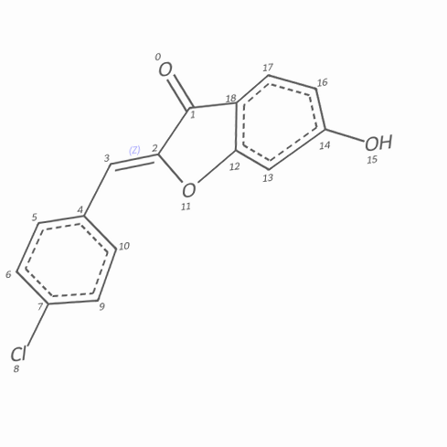 O=C1/C(=C/c2ccc(Cl)cc2)Oc2cc(O)ccc21